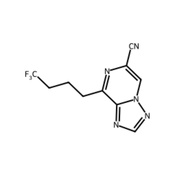 N#Cc1cn2ncnc2c(CCCC(F)(F)F)n1